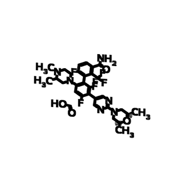 CC1CN(c2cc(F)c(-c3cnc(N4C[C@H](C)O[C@@H](C)C4)nc3)c(F)c2-c2c(F)ccc(C(N)=O)c2C(F)(F)F)CCN1C.O=CO